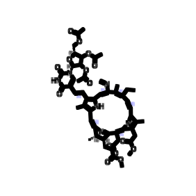 C=NC1=C/c2[nH]c(c(C)c2/C=C/c2cn([C@@H]3O[C@H](COC(C)=O)C(OC(C)=O)C3OC(C)=O)c(=O)[nH]c2=O)/C=C2N=C(/C(CC(=O)OC)=C3\NC(\C=C/C(CC)=C\1C)C(C)=C3CC(=O)OC)[C@@H](CCC(=O)OC)[C@@H]\2C